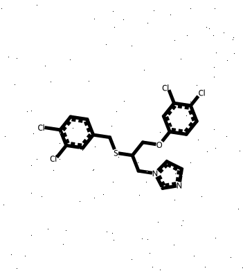 Clc1ccc(CSC(COc2ccc(Cl)c(Cl)c2)Cn2ccnc2)cc1Cl